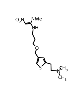 CNC(=C[N+](=O)[O-])NCCCOCc1csc(CCN(C)C)c1